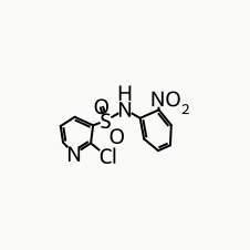 O=[N+]([O-])c1ccccc1NS(=O)(=O)c1cccnc1Cl